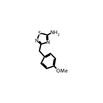 COc1ccc(Cc2nsc(N)n2)cc1